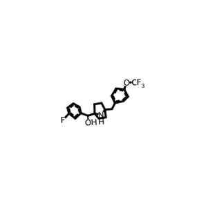 O[C@@H](c1cccc(F)c1)C12CCC(Cc3ccc(OC(F)(F)F)cc3)(CC1)N2